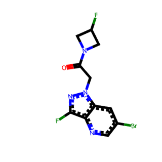 O=C(Cn1nc(F)c2ncc(Br)cc21)N1CC(F)C1